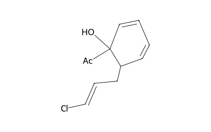 CC(=O)C1(O)C=CC=CC1CC=CCl